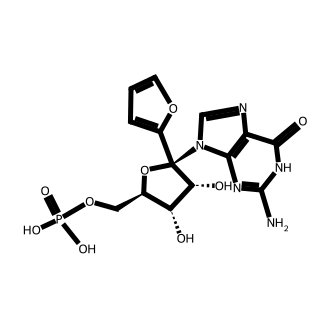 Nc1nc2c(ncn2[C@]2(c3ccco3)O[C@H](COP(=O)(O)O)[C@@H](O)[C@H]2O)c(=O)[nH]1